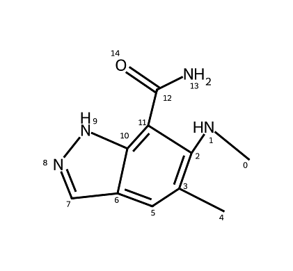 CNc1c(C)cc2cn[nH]c2c1C(N)=O